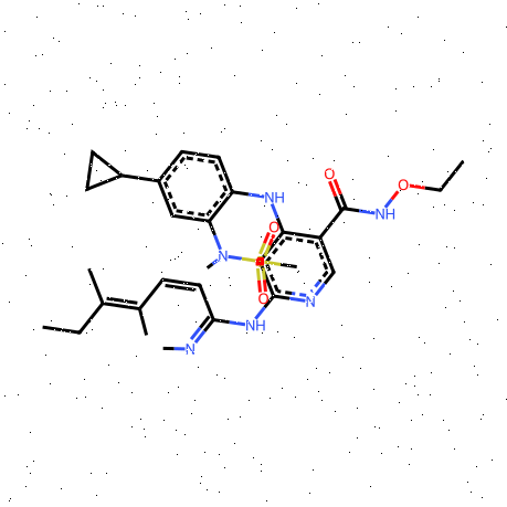 CCONC(=O)c1cnc(NC(/C=C\C(C)=C(/C)CC)=N/C)cc1Nc1ccc(C2CC2)cc1N(C)S(C)(=O)=O